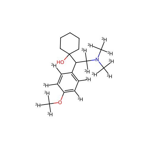 [2H]c1c([2H])c(C(C2(O)CCCCC2)C([2H])([2H])N(C([2H])([2H])[2H])C([2H])([2H])[2H])c([2H])c([2H])c1OC([2H])([2H])[2H]